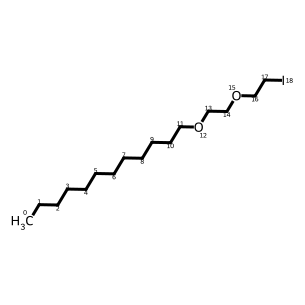 CCCCCCCCCCCCOCCOCCI